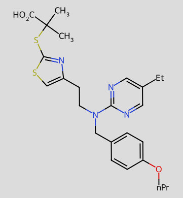 CCCOc1ccc(CN(CCc2csc(SC(C)(C)C(=O)O)n2)c2ncc(CC)cn2)cc1